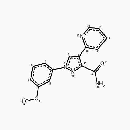 COc1cccc(-n2cc(-c3ccccn3)c(C(N)=O)n2)c1